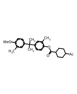 COc1ccc(C(C)(C)c2ccc(OC(=O)C3CCC(C(C)=O)CC3)c(C)c2)cc1C